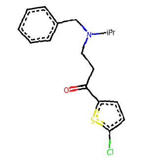 CC(C)N(CCC(=O)c1ccc(Cl)s1)Cc1ccccc1